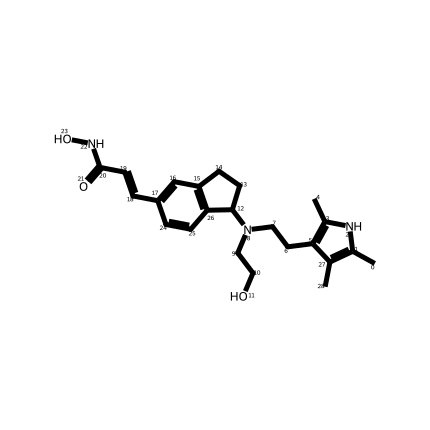 Cc1[nH]c(C)c(CCN(CCO)C2CCc3cc(C=CC(=O)NO)ccc32)c1C